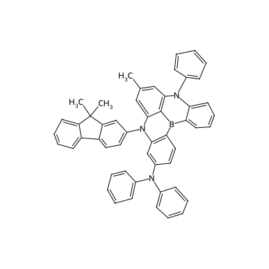 Cc1cc2c3c(c1)N(c1ccc4c(c1)C(C)(C)c1ccccc1-4)c1cc(N(c4ccccc4)c4ccccc4)ccc1B3c1ccccc1N2c1ccccc1